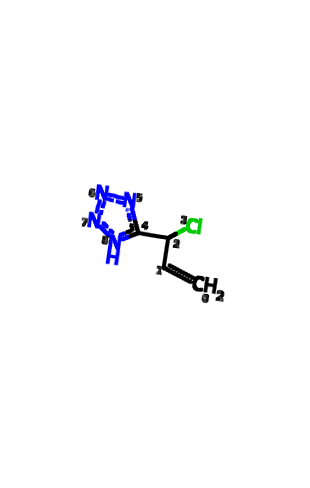 C=CC(Cl)c1nnn[nH]1